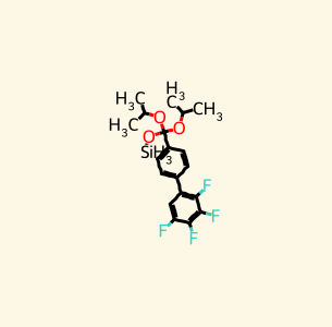 CC(C)OC(O[SiH3])(OC(C)C)c1ccc(-c2cc(F)c(F)c(F)c2F)cc1